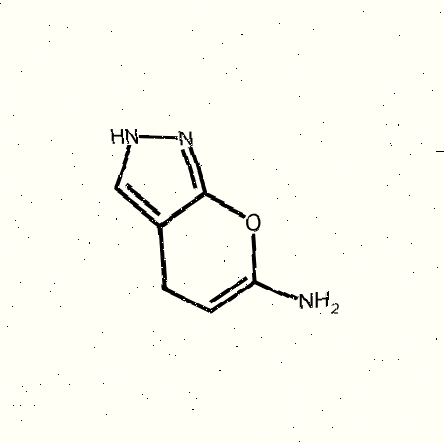 NC1=CCc2c[nH]nc2O1